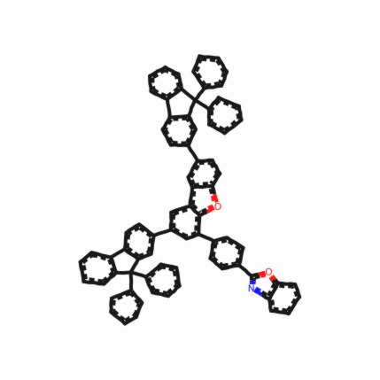 c1ccc(C2(c3ccccc3)c3ccccc3-c3ccc(-c4ccc5oc6c(-c7ccc(-c8nc9ccccc9o8)cc7)cc(-c7ccc8c(c7)C(c7ccccc7)(c7ccccc7)c7ccccc7-8)cc6c5c4)cc32)cc1